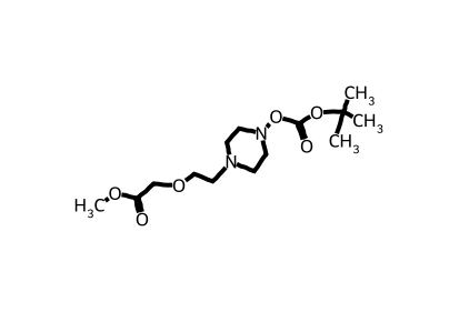 COC(=O)COCCN1CCN(OC(=O)OC(C)(C)C)CC1